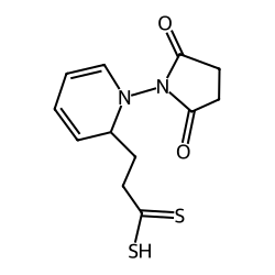 O=C1CCC(=O)N1N1C=CC=CC1CCC(=S)S